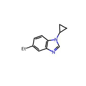 CCc1ccc2c(c1)ncn2C1CC1